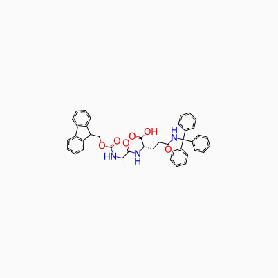 C[C@H](NC(=O)OCC1c2ccccc2-c2ccccc21)C(=O)N[C@@H](CCC(=O)NC(c1ccccc1)(c1ccccc1)c1ccccc1)C(=O)O